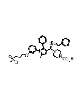 Cc1cc(C(=O)N2CCN(C(=O)O)C[C@H]2C(c2ccccc2)C(C)(C)C)c(-c2ccccc2)n1-c1cccc(OCCCS(C)(=O)=O)c1